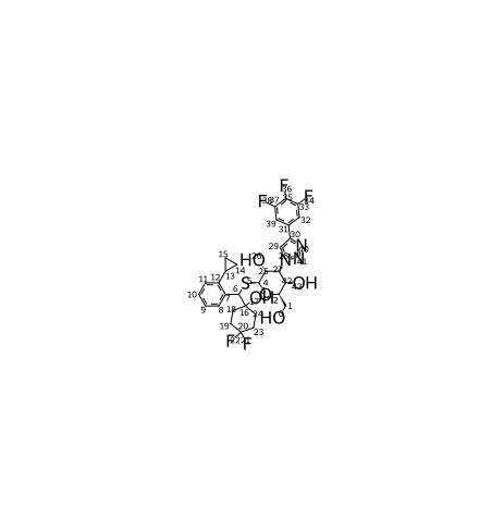 OC[C@H]1O[C@@H](SC(c2ccccc2C2CC2)C2(O)CCC(F)(F)CC2)[C@H](O)[C@@H](n2cc(-c3cc(F)c(F)c(F)c3)nn2)[C@H]1O